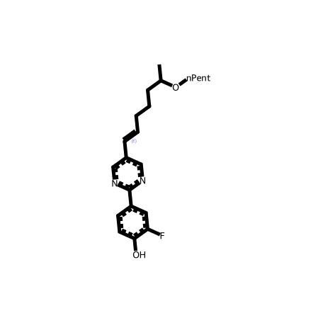 CCCCCOC(C)CCC/C=C/c1cnc(-c2ccc(O)c(F)c2)nc1